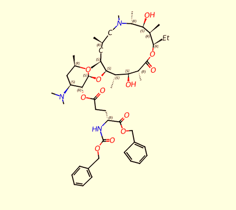 CC[C@H]1OC(=O)[C@H](C)[C@@H](O)[C@H](C)[C@@H](O[C@@H]2O[C@H](C)C[C@H](N(C)C)[C@H]2OC(=O)CC[C@@H](NC(=O)OCc2ccccc2)C(=O)OCc2ccccc2)[C@@H](C)C[C@@H](C)CN(C)[C@H](C)[C@@H](O)[C@H]1C